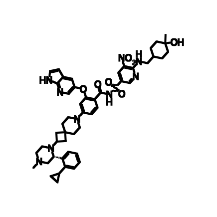 CN1CCN(C2CC3(CCN(c4ccc(C(=O)NS(=O)(=O)c5cnc(NCC6CCC(C)(O)CC6)c([N+](=O)[O-])c5)c(Oc5cnc6[nH]ccc6c5)c4)CC3)C2)[C@H](c2ccccc2C2CC2)C1